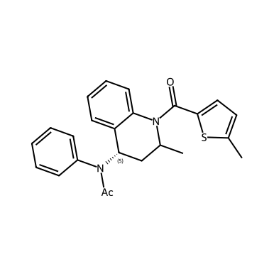 CC(=O)N(c1ccccc1)[C@H]1CC(C)N(C(=O)c2ccc(C)s2)c2ccccc21